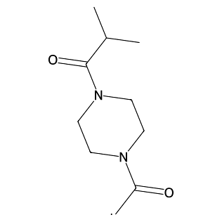 [CH2]C(=O)N1CCN(C(=O)C(C)C)CC1